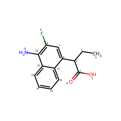 CCC(C(=O)O)c1cc(F)c(N)c2ccccc12